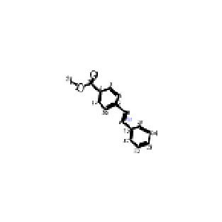 O=C(OI)c1ccc(/C=C/c2ccccc2)cc1